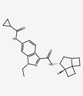 CCn1nc(C(=O)N[C@@H]2CN3CCC34CC[C@H]24)c2ccc(NC(=O)C3CC3)cc21